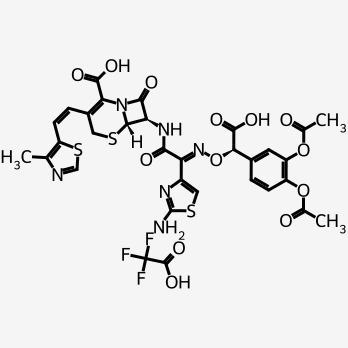 CC(=O)Oc1ccc([C@@H](ON=C(C(=O)N[C@@H]2C(=O)N3C(C(=O)O)=C(/C=C\c4scnc4C)CS[C@@H]23)c2csc(N)n2)C(=O)O)cc1OC(C)=O.O=C(O)C(F)(F)F